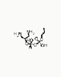 CCCOP(=O)(O)OP(=O)(O)OC(CN)CN